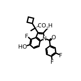 Cc1c([C@](C)(C(=O)O)C2CCC2)c2c(F)c(O)ccc2n1C(=O)c1ccc(F)c(F)c1